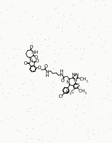 Cc1sc2c(c1C)C(c1ccc(Cl)cc1)=N[C@@H](CC(=O)NCCCCNC(=O)COc1cccc3c1C(=O)N([C@H]1CCCC(=O)NC1=O)C3=O)c1nnc(C)n1-2